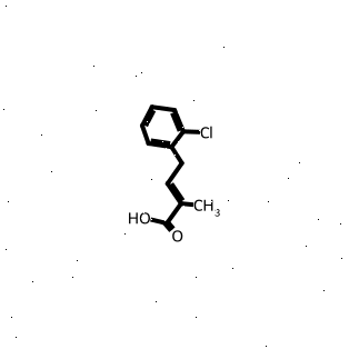 C/C(=C\Cc1ccccc1Cl)C(=O)O